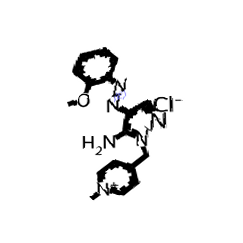 COc1ccccc1/N=N/c1cnn(Cc2cc[n+](C)cc2)c1N.[Cl-]